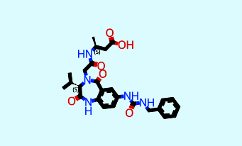 CC(C)[C@H]1C(=O)Nc2ccc(NC(=O)NCc3ccccc3)cc2C(=O)N1CC(=O)N[C@@H](C)CC(=O)O